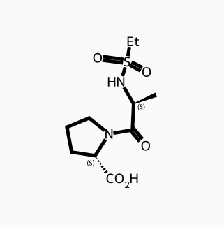 CCS(=O)(=O)N[C@@H](C)C(=O)N1CCC[C@H]1C(=O)O